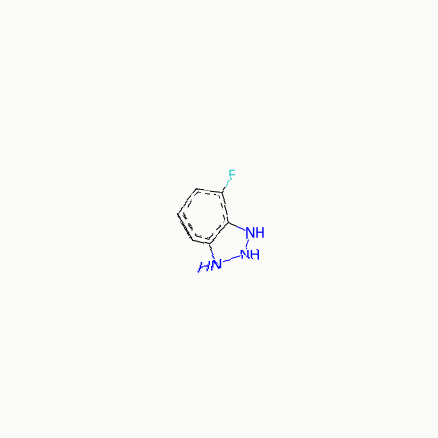 Fc1cccc2c1NNN2